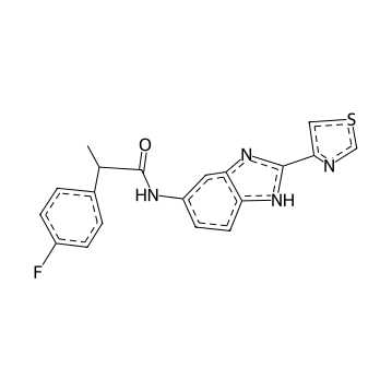 CC(C(=O)Nc1ccc2[nH]c(-c3cscn3)nc2c1)c1ccc(F)cc1